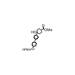 CCCCCCOc1ccc(-c2ccc(C3(O)CCC(C(=O)OC)CC3)cc2)cc1